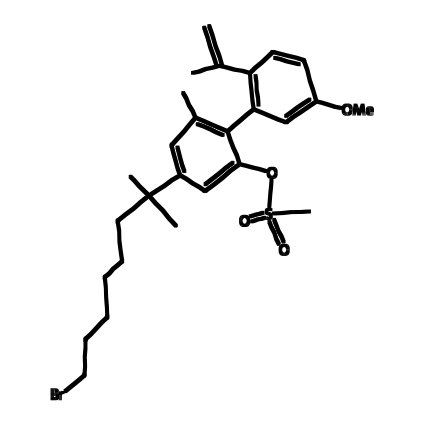 C=C(C)c1ccc(OC)cc1-c1c(C)cc(C(C)(C)CCCCCCBr)cc1OS(C)(=O)=O